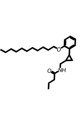 CCCCCCCCCCCOc1ccccc1C1CC1CNC(=O)CCC